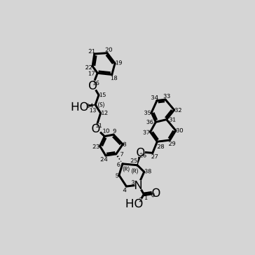 O=C(O)N1CC[C@H](c2ccc(OC[C@@H](O)COc3ccccc3)cc2)[C@@H](OCc2ccc3ccccc3c2)C1